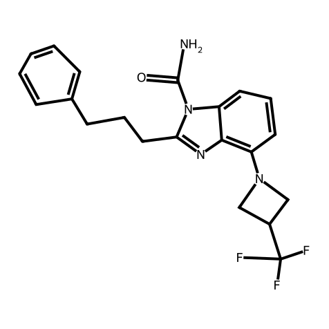 NC(=O)n1c(CCCc2ccccc2)nc2c(N3CC(C(F)(F)F)C3)cccc21